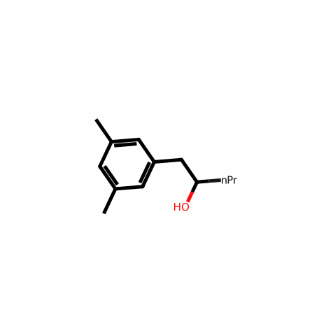 CCCC(O)Cc1cc(C)cc(C)c1